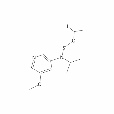 COc1cncc(N(SOC(C)I)C(C)C)c1